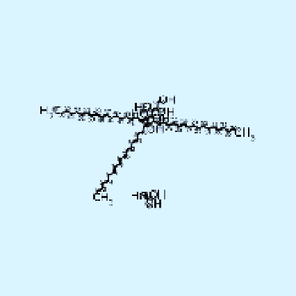 CCCCCCCCCCCCCCCCCCC(O)(CCCCCCCCCCCCCCCCCC)[C@@](O)(CCCCCCCCCCCCCCCCCC)[C@@H](O)[C@H](O)[C@H](O)CO.OP(O)O